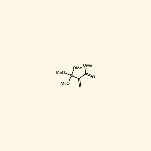 C=C(C(=O)OC)[Si](OC)(OC)OC